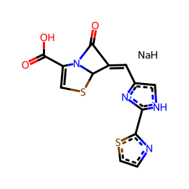 O=C(O)C1=CSC2C(=Cc3c[nH]c(-c4nccs4)n3)C(=O)N12.[NaH]